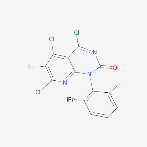 Cc1cccc(C(C)C)c1-n1c(=O)nc(Cl)c2c(Cl)c(F)c(Cl)nc21